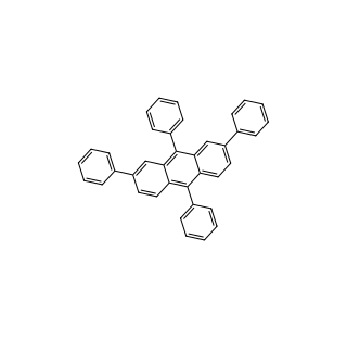 c1ccc(-c2ccc3c(-c4ccccc4)c4ccc(-c5ccccc5)cc4c(-c4ccccc4)c3c2)cc1